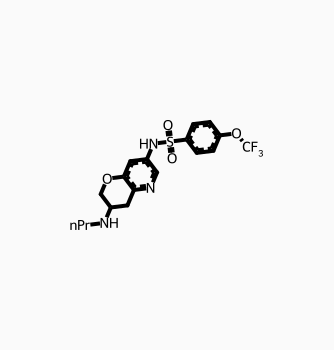 CCCNC1COc2cc(NS(=O)(=O)c3ccc(OC(F)(F)F)cc3)cnc2C1